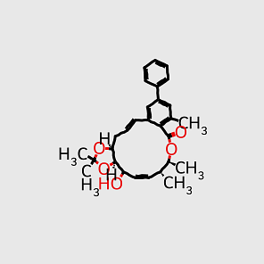 Cc1cc(-c2ccccc2)cc2c1C(=O)O[C@@H](C)[C@H](C)/C=C\C(O)[C@H]1OC(C)(C)O[C@H]1C/C=C/2